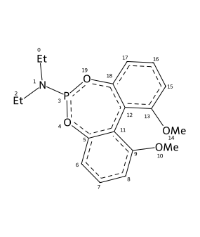 CCN(CC)p1oc2cccc(OC)c2c2c(OC)cccc2o1